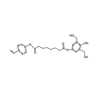 C=Cc1ccc(OC(=O)CCCCCCC(=O)Oc2cc(CO)c(O)c(CO)c2)cc1